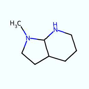 CN1CCC2CCCNC21